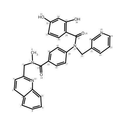 CN(Cc1ccc2ccccc2n1)C(=O)c1ccc(N(Cc2cccnc2)C(=O)c2ccc(O)cc2O)cc1